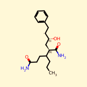 CCCC(CCC(N)=O)[C@@H](C[C@@H](O)[CH]Cc1ccccc1)C(N)=O